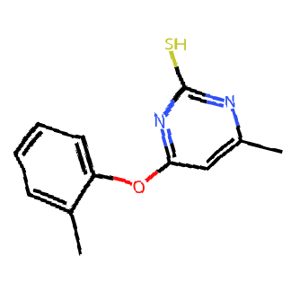 Cc1cc(Oc2ccccc2C)nc(S)n1